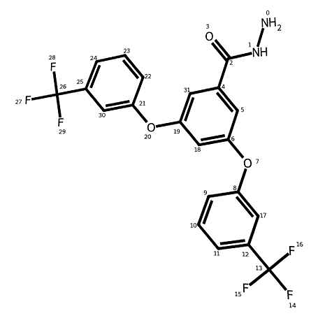 NNC(=O)c1cc(Oc2cccc(C(F)(F)F)c2)cc(Oc2cccc(C(F)(F)F)c2)c1